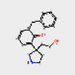 O=C1C(C2(CCO)CCNC2)=CC=CC1Cc1ccccc1